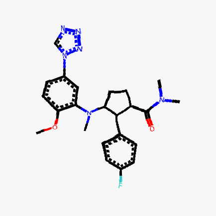 COc1ccc(-n2cnnn2)cc1N(C)C1CCC(C(=O)N(C)C)C1c1ccc(F)cc1